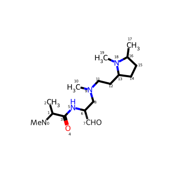 CNC(C)C(=O)NC(C=O)CN(C)CCC1CCC(C)N1C